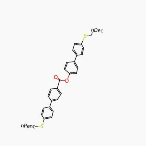 CCCCCCCCCCCSc1ccc(-c2ccc(OC(=O)c3ccc(-c4ccc(SCCCCC)cc4)cc3)cc2)cc1